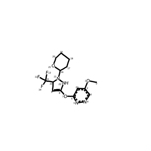 COc1cnnc(OC2=CC(C(F)(F)F)N(C3CCCCO3)N2)c1